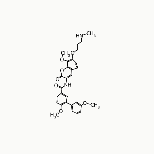 CNCCCOc1ccc2cc(NC(=O)c3ccc(OC)c(-c4cccc(OC)c4)c3)c(=O)oc2c1OC